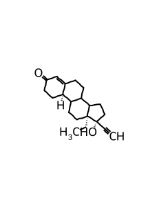 C#C[C@]1(O)CCC2C3CCC4=CC(=O)CC[C@@H]4C3CC[C@@]21CC